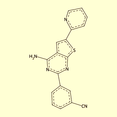 N#Cc1cccc(-c2nc(N)c3cc(-c4ccccn4)sc3n2)c1